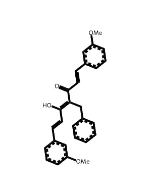 COc1cccc(/C=C/C(=O)/C(Cc2ccccc2)=C(O)/C=C/c2cccc(OC)c2)c1